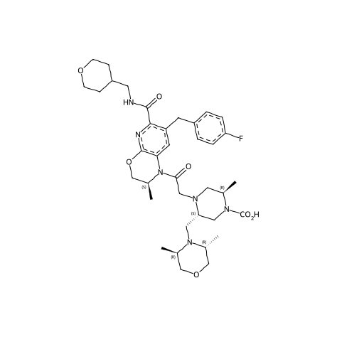 C[C@@H]1CN(CC(=O)N2c3cc(Cc4ccc(F)cc4)c(C(=O)NCC4CCOCC4)nc3OC[C@@H]2C)[C@@H](CN2[C@H](C)COC[C@H]2C)CN1C(=O)O